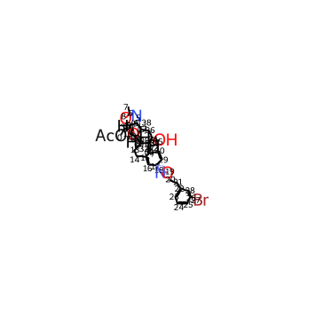 CC(=O)OCC(=O)[C@@]12N=C(C)O[C@@H]1C[C@H]1[C@@H]3CCC4=C/C(=N/OCCc5cccc(Br)c5)C=C[C@]4(C)[C@H]3[C@@H](O)C[C@@]12C